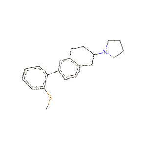 CSc1ccccc1-c1ccc2c(c1)CCC(N1CCCC1)C2